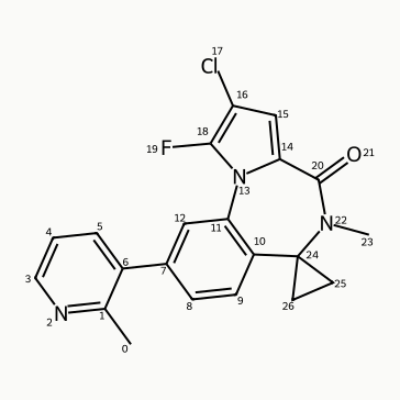 Cc1ncccc1-c1ccc2c(c1)-n1c(cc(Cl)c1F)C(=O)N(C)C21CC1